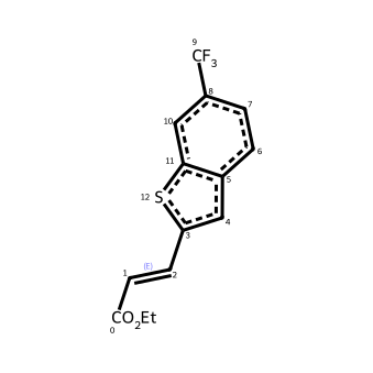 CCOC(=O)/C=C/c1cc2ccc(C(F)(F)F)cc2s1